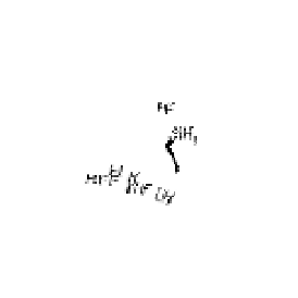 CC[SiH3].F.F.F.F.F.[LiH]